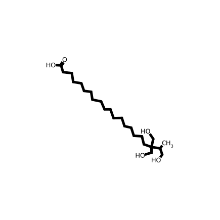 CC(CO)C(CO)(CO)CCCCCCCCCCCCCCCCCC(=O)O